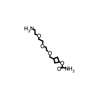 NCCOCCOCCOCC1CC(OC(N)=O)C1